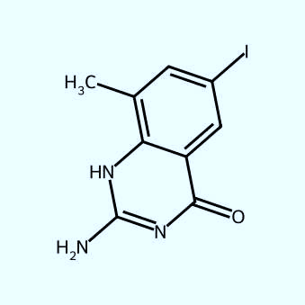 Cc1cc(I)cc2c(=O)nc(N)[nH]c12